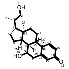 C[C@H](CO)[C@H]1CC[C@H]2[C@@H]3C(O)CC4=CC(=O)C=C[C@]4(C)[C@H]3CC[C@]12C